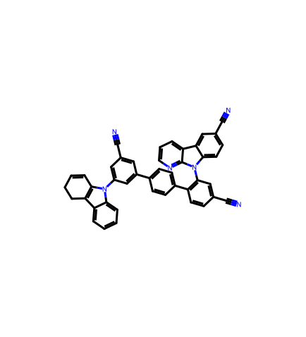 N#Cc1cc(-c2ccc(-c3ccc(C#N)cc3-n3c4ccc(C#N)cc4c4cccnc43)cc2)cc(-n2c3c(c4ccccc42)CCC=C3)c1